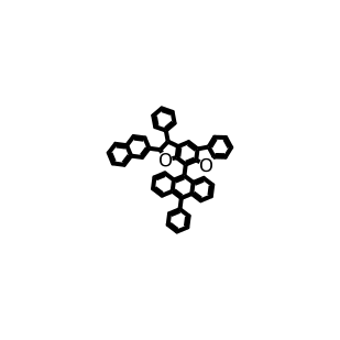 c1ccc(-c2c3ccccc3c(-c3c4c(cc5c3oc3ccccc35)C(c3ccccc3)C(c3ccc5ccccc5c3)O4)c3ccccc23)cc1